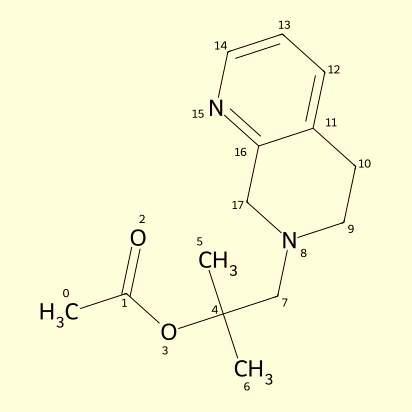 CC(=O)OC(C)(C)CN1CCc2cccnc2C1